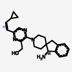 N[C@@H]1c2ccccc2CC12CCN(c1ncc(/C=C\C3CC3)nc1CO)CC2